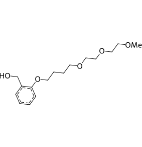 COCCOCCOCCCCOc1ccccc1CO